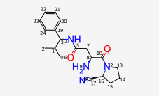 CC(C)C(NC(=O)C[C@H](N)C(=O)N1CCC[C@H]1C#N)c1ccccc1